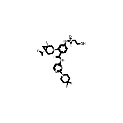 O=C(Nc1ccnc(N2CCC(F)(F)CC2)n1)c1ccc(NS(=O)(=O)CCO)cc1N1CC[C@@]2(C(F)F)C[C@H]2C1